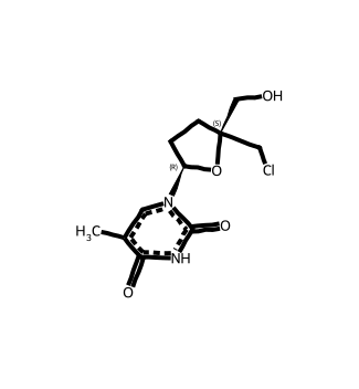 Cc1cn([C@H]2CC[C@](CO)(CCl)O2)c(=O)[nH]c1=O